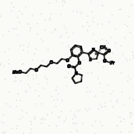 COCCOCCOCCOc1cccc(C2=N[C@@](C)(C(=O)OC(C)C)CS2)c1OC(=O)N1CCCC1